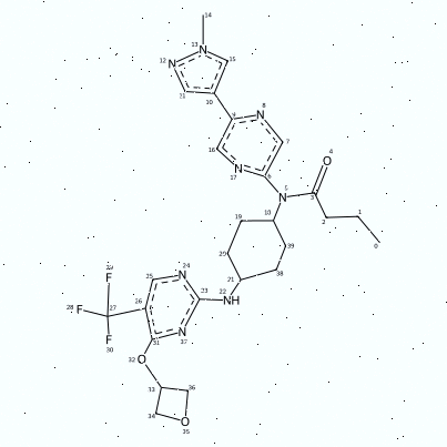 CCCC(=O)N(c1cnc(-c2cnn(C)c2)cn1)C1CCC(Nc2ncc(C(F)(F)F)c(OC3COC3)n2)CC1